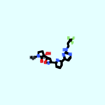 CN1CC[C@@](O)(c2cc(-c3cccc(-c4ccnc(NCCC(F)(F)F)n4)n3)no2)C1=O